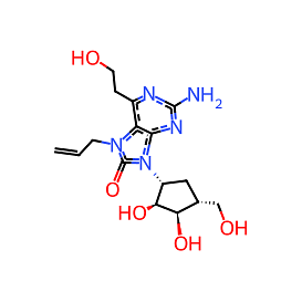 C=CCn1c(=O)n([C@@H]2C[C@H](CO)[C@@H](O)[C@H]2O)c2nc(N)nc(CCO)c21